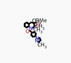 COC(=O)C1(C)Cc2ccccc2N(C(=O)c2ccc(-n3ccc(C)n3)cc2C)C[C@H]1C